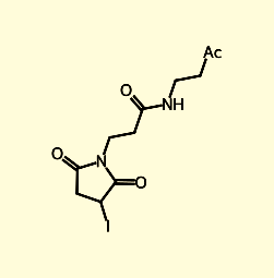 CC(=O)CCNC(=O)CCN1C(=O)CC(I)C1=O